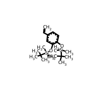 C=Cc1ccc(O[Si](C)(C)C(C)(C)C)c(O[Si](C)(C)C(C)(C)C)c1